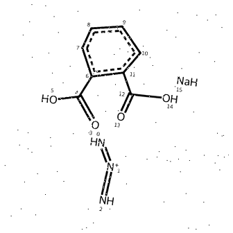 N=[N+]=N.O=C(O)c1ccccc1C(=O)O.[NaH]